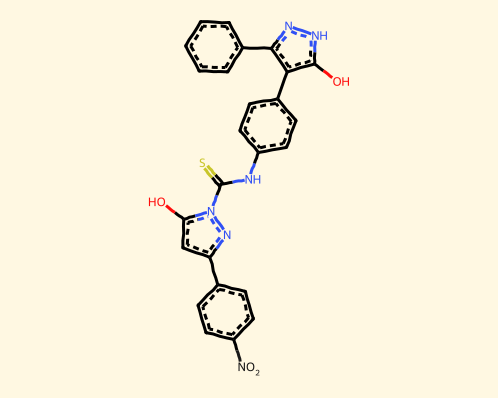 O=[N+]([O-])c1ccc(-c2cc(O)n(C(=S)Nc3ccc(-c4c(-c5ccccc5)n[nH]c4O)cc3)n2)cc1